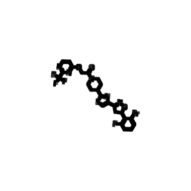 O=C(COc1ccnc(C(F)(F)F)n1)N1CCC(c2nc(C3=NOC(c4c(F)cccc4Br)C3)cs2)CC1